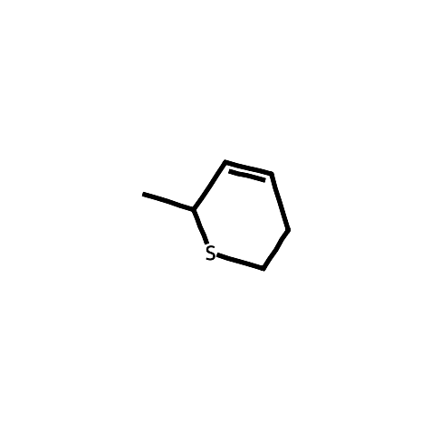 CC1C=CCCS1